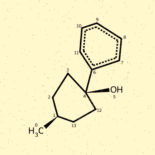 C[C@H]1CC[C@](O)(c2ccccc2)CC1